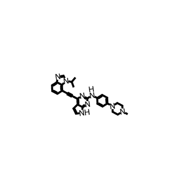 CC(C)n1cnc2cccc(C#Cc3nc(Nc4ccc(N5CCN(C)CC5)cc4)nc4[nH]ccc34)c21